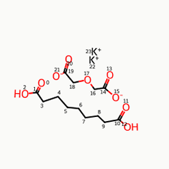 O=C(O)CCCCCCCC(=O)O.O=C([O-])COCC(=O)[O-].[K+].[K+]